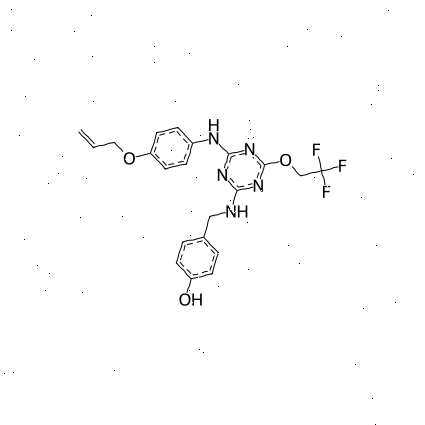 C=CCOc1ccc(Nc2nc(NCc3ccc(O)cc3)nc(OCC(F)(F)F)n2)cc1